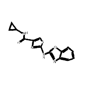 O=C(NC1CC1)c1csc(Nc2nc3ccccc3o2)n1